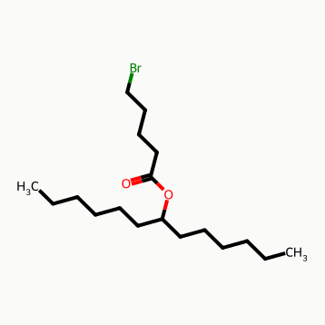 CCCCCCC(CCCCCC)OC(=O)CCCCBr